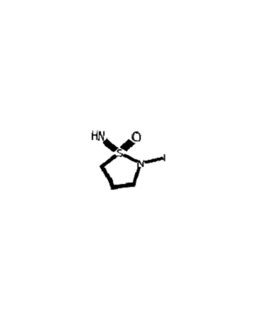 N=S1(=O)CCCN1I